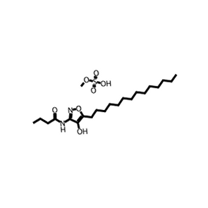 CCCCCCCCCCCCCCc1onc(NC(=O)CCC)c1O.COS(=O)(=O)O